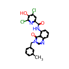 Cc1cccc(Cn2cnc3cccc(NC(=O)c4cc(Cl)c(O)c(Cl)n4)c3c2=O)c1